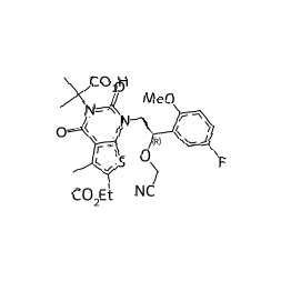 CCOC(=O)c1sc2c(c1C)c(=O)n(C(C)(C)C(=O)O)c(=O)n2C[C@H](OCC#N)c1cc(F)ccc1OC